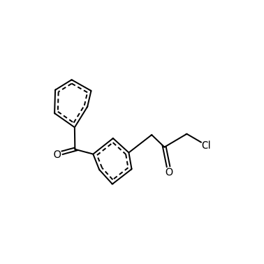 O=C(CCl)Cc1cccc(C(=O)c2ccccc2)c1